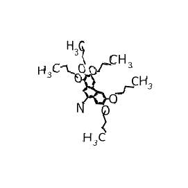 CCCCCOc1cc2c(C#N)cc3c(OCCCC)c(OCCCC)c(OCCCC)cc3c2cc1OCCCCC